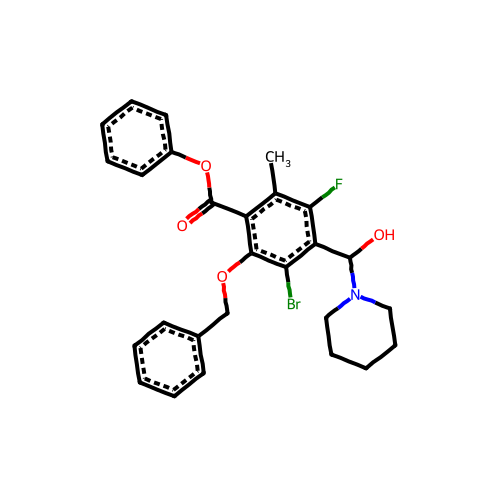 Cc1c(F)c(C(O)N2CCCCC2)c(Br)c(OCc2ccccc2)c1C(=O)Oc1ccccc1